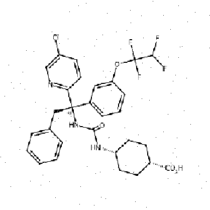 O=C(N[C@@](Cc1ccccc1)(c1cccc(OC(F)(F)C(F)F)c1)c1ccc(Cl)cn1)N[C@H]1CC[C@@H](C(=O)O)CC1